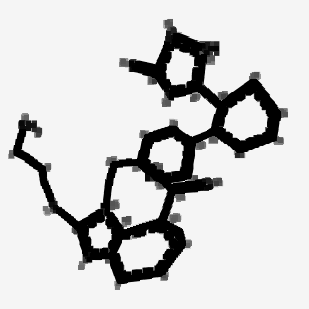 CCCSc1nc2cccc(C(=O)O)c2n1Cc1ccc(-c2ccccc2-c2nc(=S)o[nH]2)cc1